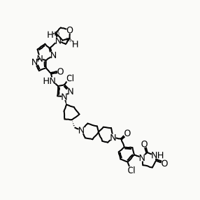 O=C1CCN(c2cc(C(=O)N3CCC4(CCN(C[C@H]5CC[C@H](n6cc(NC(=O)c7cnn8ccc(N9C[C@H]%10C[C@@H]9CO%10)nc78)c(Cl)n6)CC5)CC4)CC3)ccc2Cl)C(=O)N1